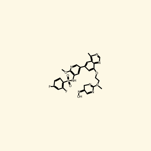 COc1ncc(-c2cc(OCCN(C)C3=NCC(=NO)C=N3)c3ncnc(C)c3c2)cc1NS(=O)(=O)c1ccc(F)cc1F